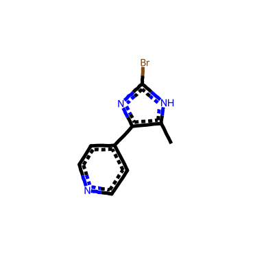 Cc1[nH]c(Br)nc1-c1ccncc1